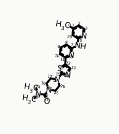 Cc1ccnc(Nc2cccc(-c3cnc(N4CCN(C(=O)N(C)C)CC4)s3)n2)c1